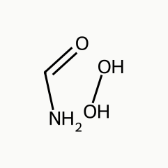 NC=O.OO